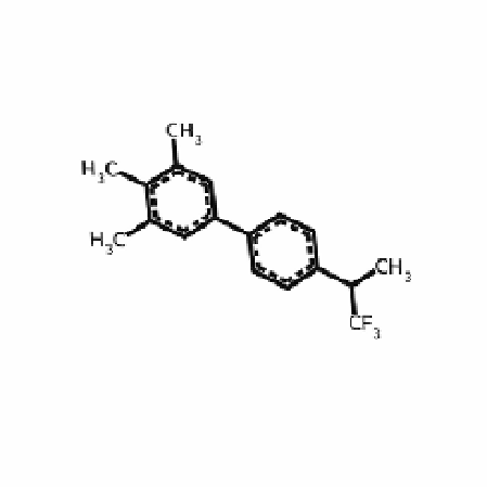 Cc1cc(-c2ccc(C(C)C(F)(F)F)cc2)cc(C)c1C